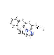 CCCCC(Cc1ccccc1)C(CC)n1ccnc1